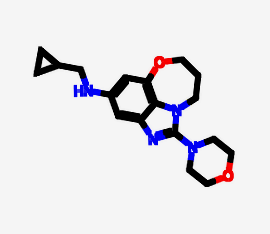 c1c(NCC2CC2)cc2nc(N3CCOCC3)n3c2c1OCCC3